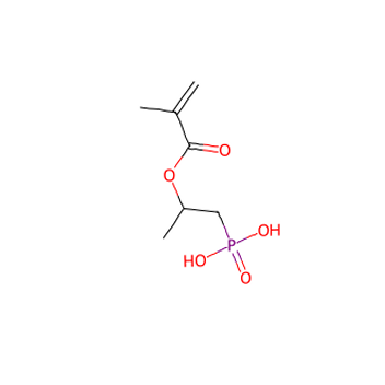 C=C(C)C(=O)OC(C)CP(=O)(O)O